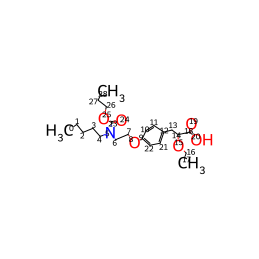 CCCCCN(CCOc1ccc(CC(OCC)C(=O)O)cc1)C(=O)OCCC